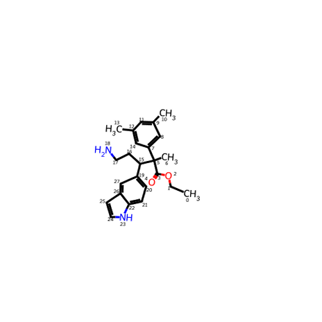 CCOC(=O)C(C)(c1cc(C)cc(C)c1)C(CCN)c1ccc2[nH]ccc2c1